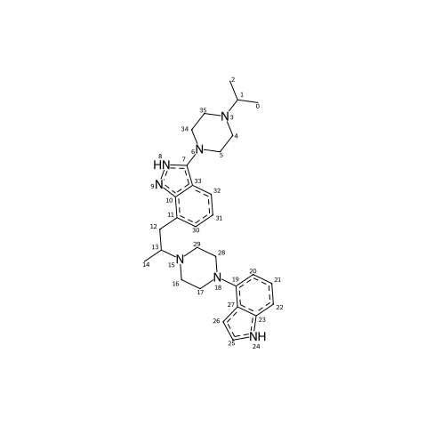 CC(C)N1CCN(c2[nH]nc3c(CC(C)N4CCN(c5cccc6[nH]ccc56)CC4)cccc23)CC1